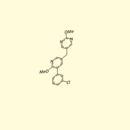 COc1ncc(Cc2cnc(OC)c(-c3cccc(Cl)c3)c2)cn1